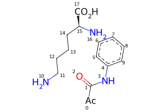 CC(=O)C(=O)Nc1ccccc1.NCCCC[C@H](N)C(=O)O